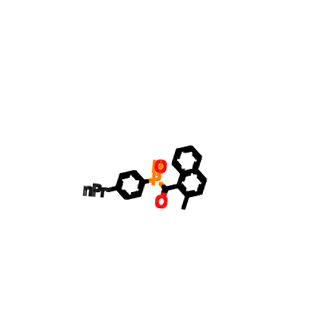 CCCc1ccc([PH](=O)C(=O)c2c(C)ccc3ccccc23)cc1